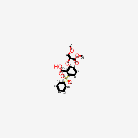 COC=C(Oc1cccc(S(=O)(=O)c2ccccc2)c1C(=O)O)C(=O)OC